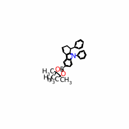 CC1(C)OB(c2ccc3c(c2)c2c(n3-c3ccccc3)C(c3ccccc3)CC=C2)OC1(C)C